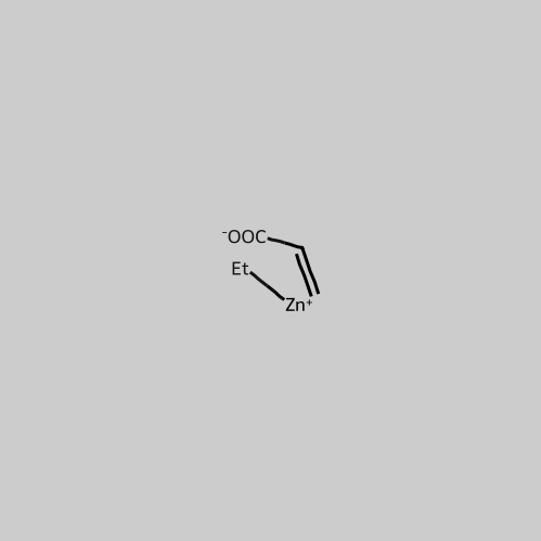 C=CC(=O)[O-].C[CH2][Zn+]